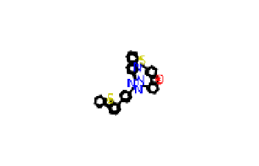 c1ccc(-c2nc(-c3ccc(-c4cccc5c4sc4ccccc45)cc3)nc(-c3cccc4oc5ccc(-c6nc7ccccc7s6)cc5c34)n2)cc1